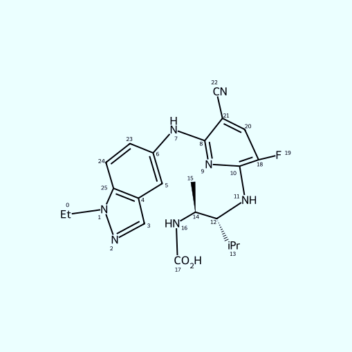 CCn1ncc2cc(Nc3nc(N[C@H](C(C)C)[C@H](C)NC(=O)O)c(F)cc3C#N)ccc21